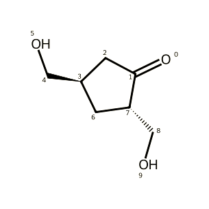 O=C1C[C@H](CO)C[C@H]1CO